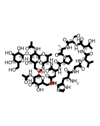 CNC(=O)[C@@H](NC(=O)[C@H](CC(=O)O)NC(=O)[C@@H]1CCCN1C(=O)[C@H](C)NC(=O)[C@H](CO)NC(=O)[C@@H](NC(=O)[C@@H](NC(=O)CNC(=O)[C@@H](N)Cc1cnc[nH]1)C(C)C)C(C)O)C(C)O[C@H]1OC(CO[C@@H]2OC(CO)[C@@H](O)C(O)[C@@H]2NC(C)=O)[C@H](O)[C@H](O[C@@H]2OC(CO)[C@H](O)C(O)[C@@H]2O)C1NC(C)=O